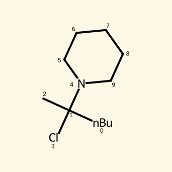 CCCCC(C)(Cl)N1CCCCC1